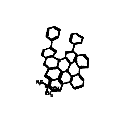 C[Si](C)(C)c1cc2c3c(c1)N(c1c(-c4ccccc4)cccc1-c1ccccc1)c1ccc(-c4ccccc4)cc1B3c1cc(-c3ccccc3)ccc1S2